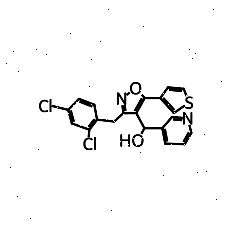 OC(c1cccnc1)c1c(Cc2ccc(Cl)cc2Cl)noc1-c1ccsc1